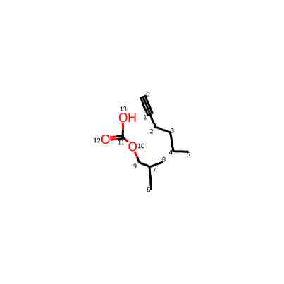 C#CCCCC.CC(C)COC(=O)O